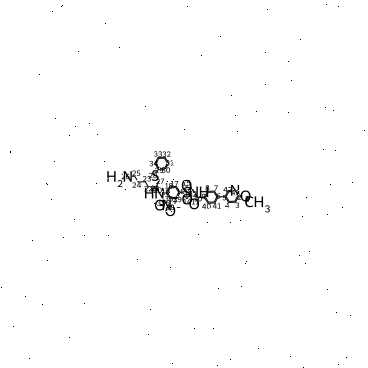 COc1ccc(-c2ccc(C(=O)NS(=O)(=O)c3ccc(N[C@H](CCCCN)CSc4ccccc4)c([N+](=O)[O-])c3)cc2)cn1